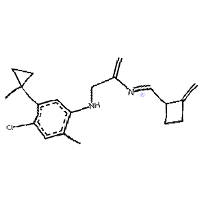 C=C(CNc1cc(C2(C)CC2)c(Cl)cc1C)/N=C/C1CCC1=C